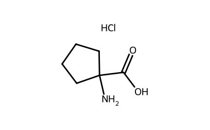 Cl.NC1(C(=O)O)CCCC1